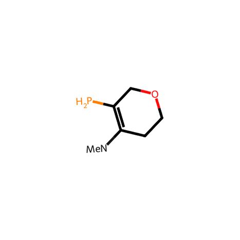 CNC1=C(P)COCC1